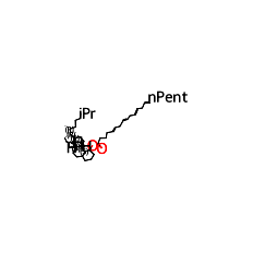 CCCCCC=CCC=CCC=CCC=CCCCC(=O)OC1CCCC2CC[C@@H]3[C@H](CC[C@]4(C)[C@@H]([C@H](C)CCCC(C)C)CC[C@@H]34)[C@]21C